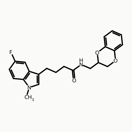 Cn1cc(CCCC(=O)NCC2COc3ccccc3O2)c2cc(F)ccc21